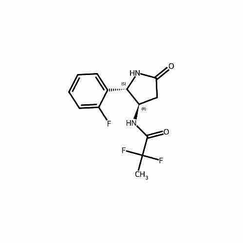 CC(F)(F)C(=O)N[C@@H]1CC(=O)N[C@H]1c1ccccc1F